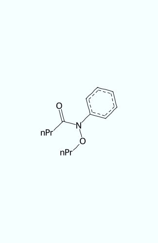 CCCON(C(=O)CCC)c1ccccc1